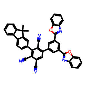 CC1(C)c2ccccc2-c2ccc(-c3c(C#N)c(C#N)cc(-c4cc(-c5nc6ccccc6o5)cc(-c5nc6ccccc6o5)c4)c3C#N)cc21